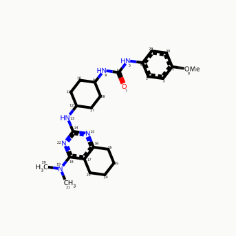 COc1ccc(NC(=O)NC2CCC(Nc3nc4c(c(N(C)C)n3)CCCC4)CC2)cc1